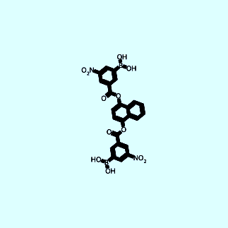 O=C(Oc1ccc(OC(=O)c2cc(B(O)O)cc([N+](=O)[O-])c2)c2ccccc12)c1cc(B(O)O)cc([N+](=O)[O-])c1